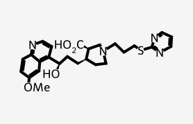 COc1ccc2nccc([C@H](O)CC[C@@H]3CCN(CCCSc4ncccn4)C[C@@H]3C(=O)O)c2c1